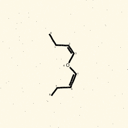 CC/C=C\O/C=C\CC